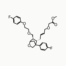 COC(=O)COC/C=C/C[C@H]1[C@H](COCCOc2ccc(F)cc2)C2CC1(c1ccc(F)cc1)CO2